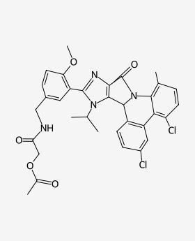 COc1ccc(CNC(=O)COC(C)=O)cc1-c1nc2c(n1C(C)C)C1c3ccc(Cl)cc3-c3c(Cl)ccc(C)c3N1C2=O